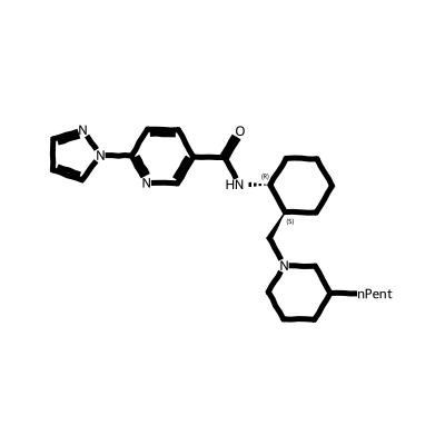 CCCCCC1CCCN(C[C@@H]2CCCC[C@H]2NC(=O)c2ccc(-n3cccn3)nc2)C1